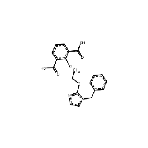 CCOc1nccn1Cc1ccccc1.Cc1c(C(=O)O)cccc1C(=O)O